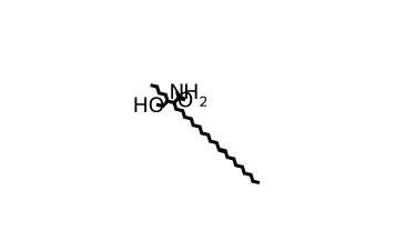 CCCCCCCCC=CCCCCCCCCCCC(C(N)=O)C(CO)CCCC